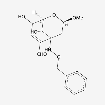 CO[C@H]1CC2(NOCc3ccccc3)C(C=O)=CC(O)[C@@H](O1)C2O